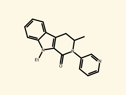 CCn1c2c(c3ccccc31)CC(C)N(c1cccnc1)C2=O